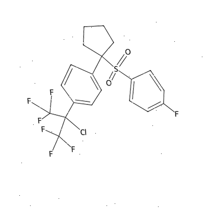 O=S(=O)(c1ccc(F)cc1)C1(c2ccc(C(Cl)(C(F)(F)F)C(F)(F)F)cc2)CCCC1